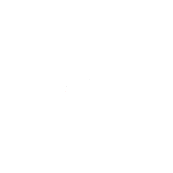 COc1cc(C(C)=O)ccc1CC(C)C